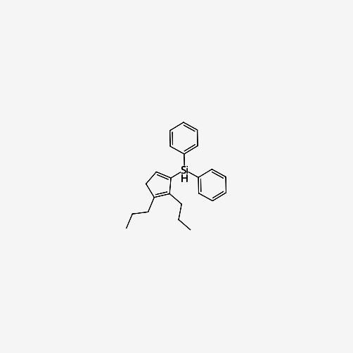 CCCC1=C(CCC)C([SiH](c2ccccc2)c2ccccc2)=CC1